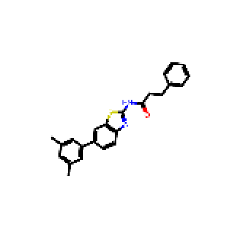 Cc1cc(C)cc(-c2ccc3nc(NC(=O)CCc4ccccc4)sc3c2)c1